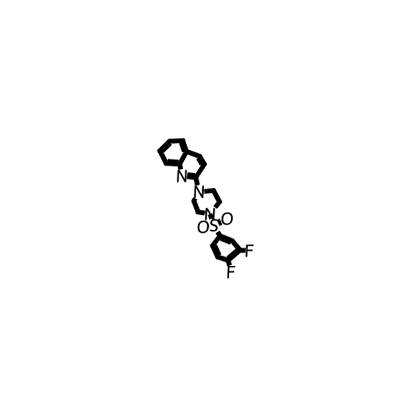 O=S(=O)(c1ccc(F)c(F)c1)N1CCN(c2ccc3ccccc3n2)CC1